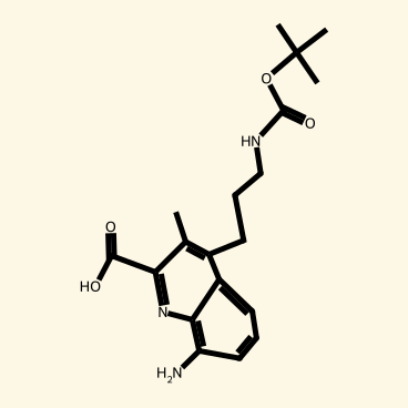 Cc1c(C(=O)O)nc2c(N)cccc2c1CCCNC(=O)OC(C)(C)C